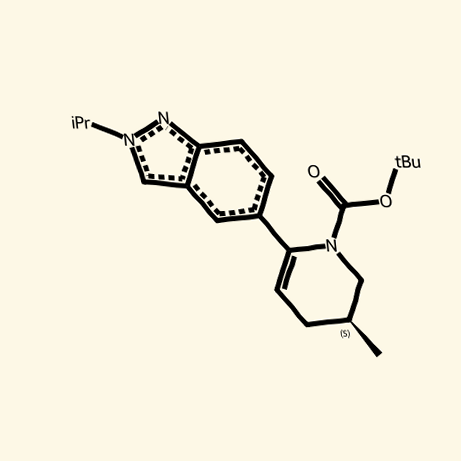 CC(C)n1cc2cc(C3=CC[C@H](C)CN3C(=O)OC(C)(C)C)ccc2n1